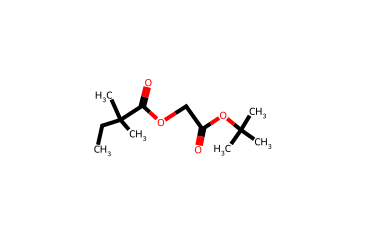 CCC(C)(C)C(=O)OCC(=O)OC(C)(C)C